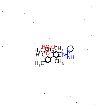 Cc1ccc(-c2c(C)c3c(c(C)c2C(OC(C)(C)C)C(=O)O)CN(C(=N)N2CCCCC2)C3)cc1